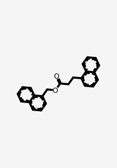 O=C(CCc1cccc2ccccc12)OCc1cccc2ccccc12